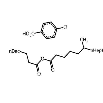 CCCCCCCCCCCCC(=O)OC(=O)CCCCC(C)CCCCCCC.O=C(O)c1ccc(Cl)cc1